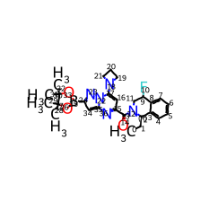 CC[C@@H]1c2ccccc2C(F)CN1C(=O)c1cc(N2CCC2)n2nc(B3OC(C)(C)C(C)(C)O3)cc2n1